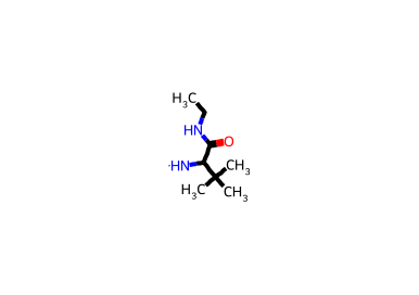 CCNC(=O)C([NH])C(C)(C)C